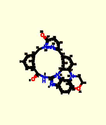 O=C1Nc2nc3ccccc3n2-c2cc(ccc2N2CCOCC2)-c2ccc(=O)n(n2)Cc2cccc1c2